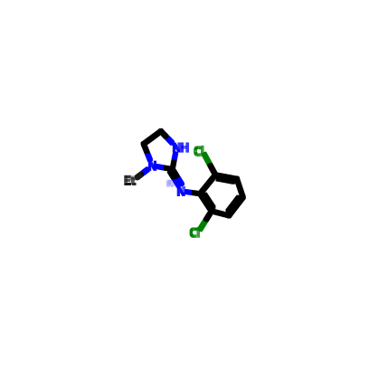 CCN1CCN/C1=N\c1c(Cl)cccc1Cl